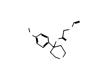 COc1ccc(C2(NC(=O)COC=O)CCNCC2)cc1